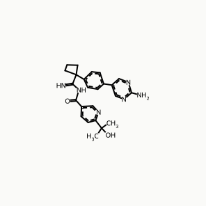 CC(C)(O)c1ccc(C(=O)NC(=N)C2(c3ccc(-c4cnc(N)nc4)cc3)CCC2)cn1